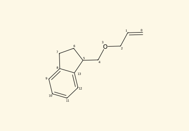 C=CCOCC1CCc2ccccc21